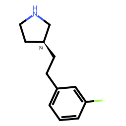 Fc1cccc(CC[C@H]2CCNC2)c1